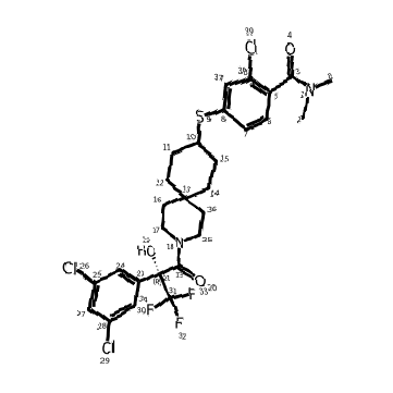 CN(C)C(=O)c1ccc(SC2CCC3(CC2)CCN(C(=O)[C@](O)(c2cc(Cl)cc(Cl)c2)C(F)(F)F)CC3)cc1Cl